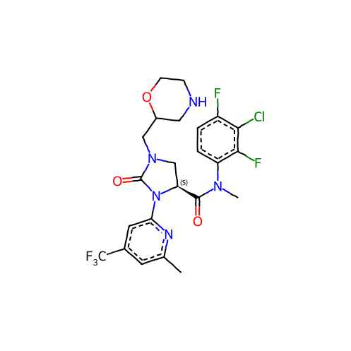 Cc1cc(C(F)(F)F)cc(N2C(=O)N(CC3CNCCO3)C[C@H]2C(=O)N(C)c2ccc(F)c(Cl)c2F)n1